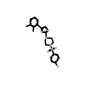 Cc1cccc(-c2csc(N3CCN(S(=O)(=O)c4ccc(Cl)cc4)CC3)n2)c1C